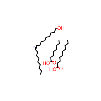 CCCCCCCC(=O)O.CCCCCCCC/C=C\CCCCCCCCO.CCCCCCCCCC(=O)O